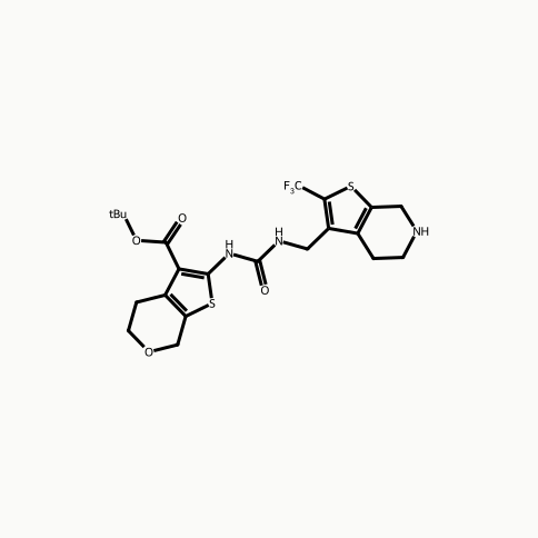 CC(C)(C)OC(=O)c1c(NC(=O)NCc2c(C(F)(F)F)sc3c2CCNC3)sc2c1CCOC2